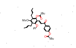 CC=CCc1c(OC(=O)C(C)(C)C)c(C=CC(=O)c2ccc(OC(=O)C(C)(C)C)cc2)c(OC(C)C)c(CC=CC)c1OC